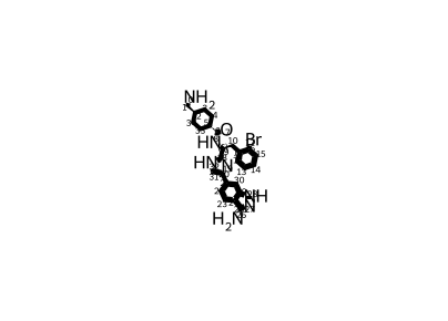 NC[C@H]1CC[C@H](C(=O)N[C@@H](Cc2ccccc2Br)c2nc(-c3ccc4c(N)n[nH]c4c3)c[nH]2)CC1